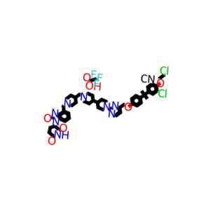 Cn1c(=O)n(C2CCC(=O)NC2=O)c2cccc(CN3CCC(CN4CCC(C5CCN(c6nccc(COc7ccc(C(C)(C)c8cc(Cl)c(OCCCl)c(C#N)c8)cc7)n6)CC5)CC4)CC3)c21.O=C(O)C(F)(F)F